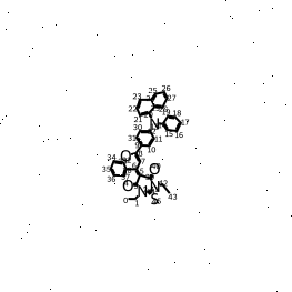 CCN1C(=O)C(=C2C=C(c3ccc(N(c4ccccc4)c4cccc5ccccc45)cc3)Oc3ccccc32)C(=O)N(CC)C1=S